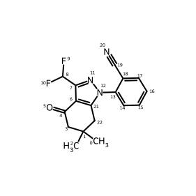 CC1(C)CC(=O)c2c(C(F)F)nn(-c3ccccc3C#N)c2C1